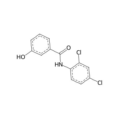 O=C(Nc1ccc(Cl)cc1Cl)c1cccc(O)c1